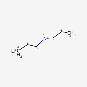 CCC[N-]CCC.[Li+]